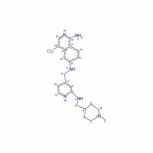 CN1CCC(CNc2cc(CNc3ccc4c(N)ncc(Cl)c4c3)ccn2)CC1